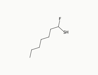 CCCCCCC(F)S